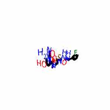 CN(Cc1csc(NC(=O)NCc2cccc(F)c2)n1)C(=O)C1CC(O)CN1C(N)=O